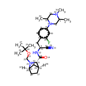 CC1CN(c2ccc(C[C@@H](C#N)NC(=O)[C@@H]3[C@H]4CC[C@H](C4)N3COC(C)(C)C)c(F)c2)C(C)CN1C